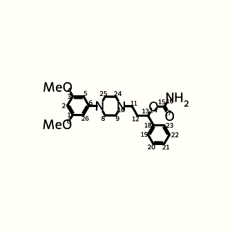 COc1cc(OC)cc(N2CCN(CCC(OC(N)=O)c3ccccc3)CC2)c1